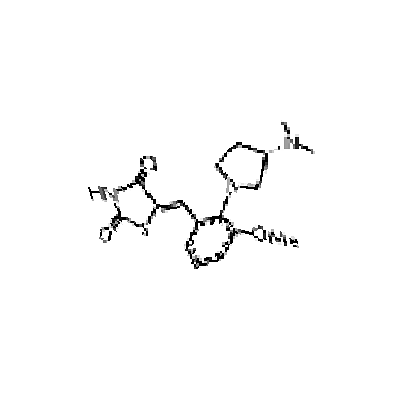 COc1cccc(/C=C2\SC(=O)NC2=O)c1N1CC[C@H](N(C)C)C1